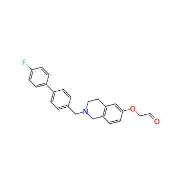 O=CCOc1ccc2c(c1)CCN(Cc1ccc(-c3ccc(F)cc3)cc1)C2